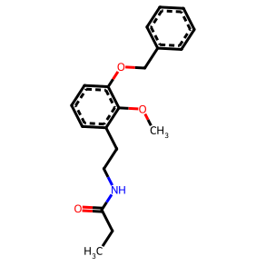 CCC(=O)NCCc1cccc(OCc2ccccc2)c1OC